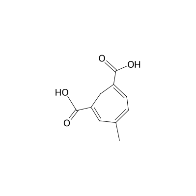 CC1=CC=C(C(=O)O)CC(C(=O)O)=C1